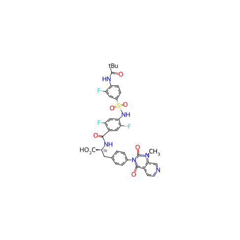 Cn1c(=O)n(-c2ccc(C[C@H](NC(=O)c3cc(F)c(NS(=O)(=O)c4ccc(NC(=O)C(C)(C)C)c(F)c4)cc3F)C(=O)O)cc2)c(=O)c2ccncc21